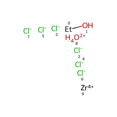 CCO.[Cl-].[Cl-].[Cl-].[Cl-].[Cl-].[Cl-].[OH4+2].[Zr+4]